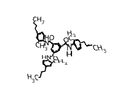 CCCCc1ccc(NC(=O)c2cc(C(=O)Nc3ccc(CCCC)cc3C)cc(C(=O)Nc3ccc(CCCC)cc3C)c2)c(C)c1